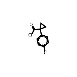 O=C(Cl)C1(c2ccc(Cl)cc2)CC1